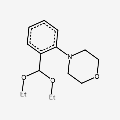 CCOC(OCC)c1ccccc1N1CCOCC1